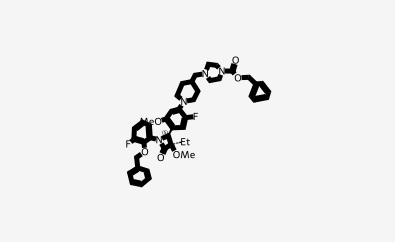 CC[C@]1(OC)C(=O)N(c2cccc(F)c2OCc2ccccc2)[C@H]1c1cc(F)c(N2CCC(CN3CCN(C(=O)OCc4ccccc4)CC3)CC2)cc1OC